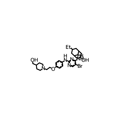 CCC1CC2C[C@H](O)CC(C1)[C@H]2Nc1nc(Nc2ccc(OCCN3CCC(CO)CC3)cc2)ncc1Br